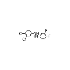 Fc1ccc(NNc2ccc(Cl)c(Cl)c2)cc1F